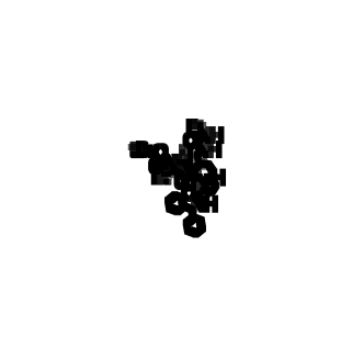 CCNC(=O)NC[C@H]1CC[C@H]2CC[C@@H](C(=O)NC(c3ccccc3)c3ccccc3)N2C(=O)[C@H]1NC(=O)[C@H](CC)NC(=O)OC(C)(C)C